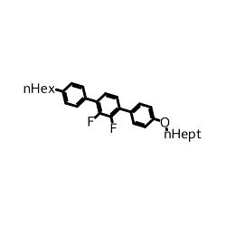 CCCCCCCOc1ccc(-c2ccc(-c3ccc(CCCCCC)cc3)c(F)c2F)cc1